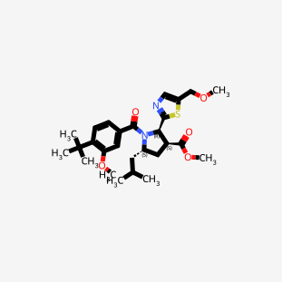 COCc1cnc([C@H]2[C@@H](C(=O)OC)C[C@H](CC(C)C)N2C(=O)c2ccc(C(C)(C)C)c(OC)c2)s1